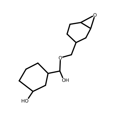 OC1CCCC(C(O)OCC2CCC3OC3C2)C1